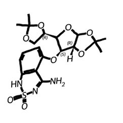 CC1(C)OC[C@H](C2OC3OC(C)(C)O[C@@H]3[C@H]2Oc2cccc3c2C(N)=NS(=O)(=O)N3)O1